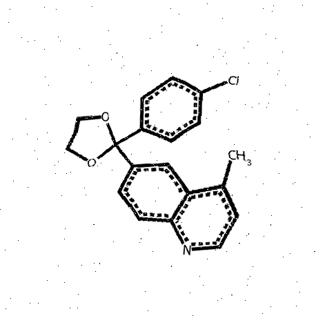 Cc1ccnc2ccc(C3(c4ccc(Cl)cc4)OCCO3)cc12